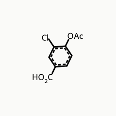 CC(=O)Oc1ccc(C(=O)O)cc1Cl